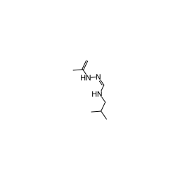 C=C(C)N/N=C\NCC(C)C